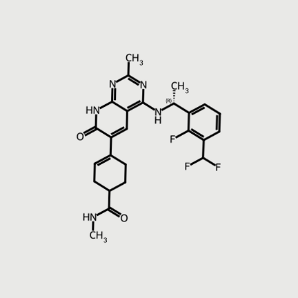 CNC(=O)C1CC=C(c2cc3c(N[C@H](C)c4cccc(C(F)F)c4F)nc(C)nc3[nH]c2=O)CC1